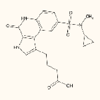 CN(C1CC1)S(=O)(=O)c1ccc2[nH]c(=O)c3[nH]cc(CCCC(=O)O)c3c2c1